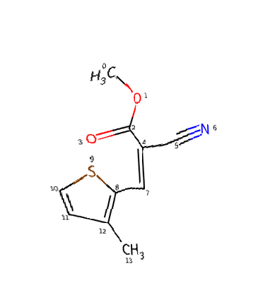 COC(=O)C(C#N)=Cc1sccc1C